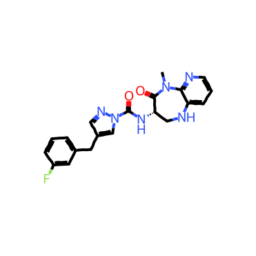 CN1C(=O)[C@@H](NC(=O)n2cc(Cc3cccc(F)c3)cn2)CNc2cccnc21